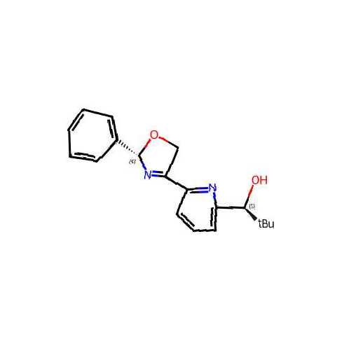 CC(C)(C)[C@H](O)c1cccc(C2=N[C@H](c3ccccc3)OC2)n1